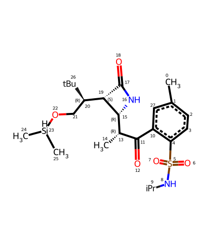 Cc1ccc(S(=O)(=O)NC(C)C)c(C(=O)[C@H](C)[C@H]2NC(=O)[C@H]2[C@@H](CO[SiH](C)C)C(C)(C)C)c1